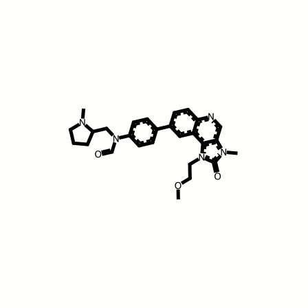 COCCn1c(=O)n(C)c2cnc3ccc(-c4ccc(N(C=O)CC5CCCN5C)cc4)cc3c21